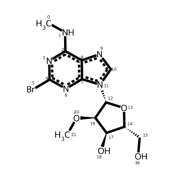 CNc1nc(Br)nc2c1ncn2[C@@H]1O[C@H](CO)[C@@H](O)[C@H]1OC